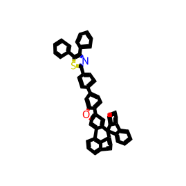 c1ccc(-c2nc(-c3ccc(-c4ccc5c(c4)oc4cc6c(cc45)C4(c5ccccc5-c5ccccc54)c4cccc5cccc-6c45)cc3)sc2-c2ccccc2)cc1